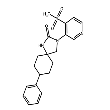 CS(=O)(=O)c1ccncc1N1CC2(CCC(c3ccccc3)CC2)NC1=O